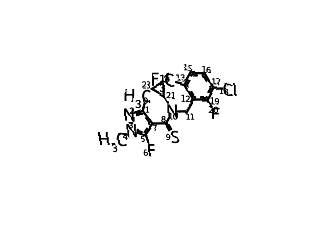 Cc1nn(C)c(F)c1C(=S)N(Cc1c(C(F)(F)F)ccc(Cl)c1F)C1CC1